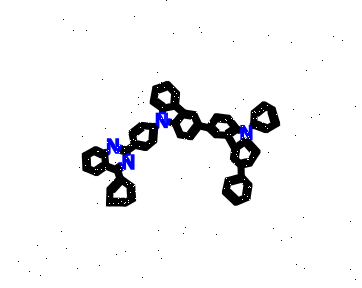 C1=C(c2ccc3c(c2)c2cc(-c4ccccc4)ccc2n3-c2ccccc2)C=C2c3ccccc3N(c3ccc(-c4nc(-c5ccccc5)c5ccccc5n4)cc3)C2C1